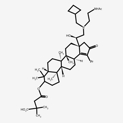 CC(=O)NCCN(CC1CCC1)C[C@H](O)[C@@]12CC[C@]3(C)[C@H](CC[C@@H]4[C@@]5(C)CCC(OC(=O)CC(C)(C)C(=O)O)C(C)(C)[C@@H]5CC[C@]43C)C1=C(C(C)C)C(=O)C2